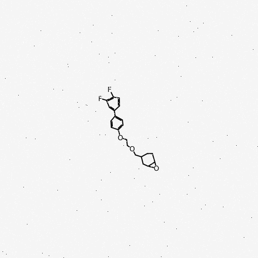 Fc1ccc(-c2ccc(OCCOCC3CCC4OC4C3)cc2)cc1F